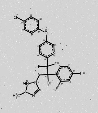 CN1N=CN(CC(O)(c2ccc(F)cc2F)C(F)(F)c2ccc(Oc3ccc(Cl)cc3)cn2)N1